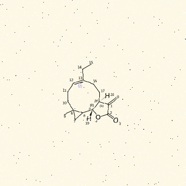 C=C1C(=O)O[C@@H]2C3CC3(C)CC/C=C(/CC)CC[C@@H]12